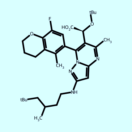 Cc1nc2cc(NCCC(C)CC(C)(C)C)nn2c(-c2cc(F)c3c(c2C)CCCO3)c1[C@H](OC(C)(C)C)C(=O)O